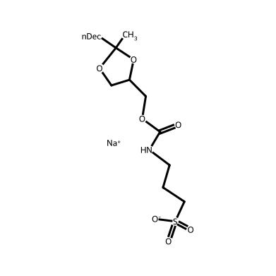 CCCCCCCCCCC1(C)OCC(COC(=O)NCCCS(=O)(=O)[O-])O1.[Na+]